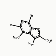 COc1c(Br)cc(Br)c2oc(C(=O)O)c(C)c12